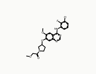 COCC(=O)N1CCC(Oc2cc3ncnc(Nc4cccc(Cl)c4F)c3cc2OC)C1